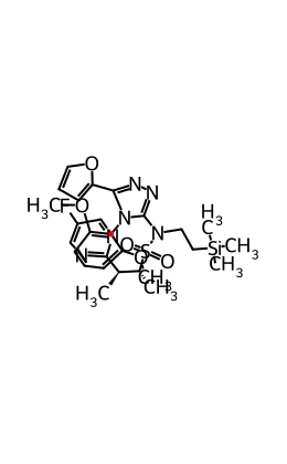 COc1cccc(OC)c1-n1c(-c2ccco2)nnc1N(CC[Si](C)(C)C)S(=O)(=O)[C@H](C)[C@@H](C)c1ncc(F)cn1